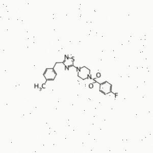 Cc1ccc(Cc2nsc(N3CCN(S(=O)(=O)c4ccc(F)cc4)CC3)n2)cc1